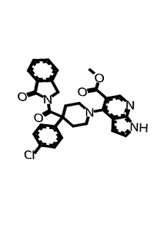 COC(=O)c1cnc2[nH]ccc2c1N1CCC(C(=O)N2Cc3ccccc3C2=O)(c2ccc(Cl)cc2)CC1